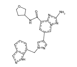 Nc1nc2c(C(=O)NC3CCOC3)cc(-c3cnn(Cc4cccc5cn[nH]c45)c3)cn2n1